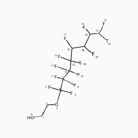 OCCOC(F)(F)C(F)(F)C(F)(F)C(F)(F)C(F)C(F)C(F)C(F)F